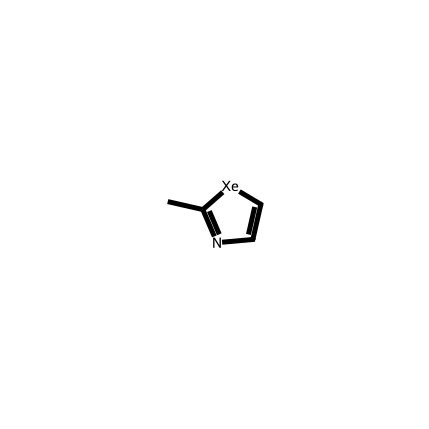 CC1=NC=C[Xe]1